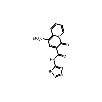 CCOC(=O)c1cc(C(=O)Nc2nnn[nH]2)c(=O)n2ccccc12